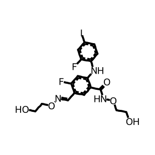 O=C(NOCCO)c1cc(/C=N/OCCO)c(F)cc1Nc1ccc(I)cc1F